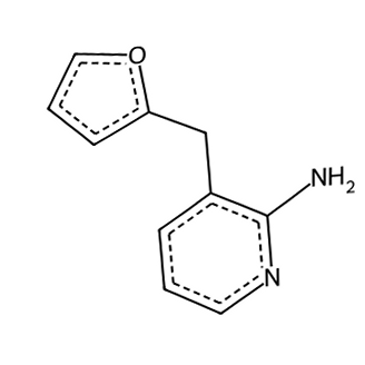 Nc1ncccc1Cc1ccco1